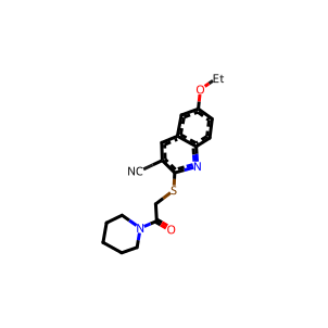 CCOc1ccc2nc(SCC(=O)N3CCCCC3)c(C#N)cc2c1